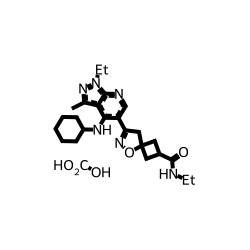 CCNC(=O)C1CC2(CC(c3cnc4c(c(C)nn4CC)c3NC3CCCCC3)=NO2)C1.O=C(O)O